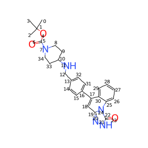 CC(C)(C)OC(=O)N1CCC(NCc2ccc(-c3cc4n[nH]c(=O)n4c4ccccc34)cc2)CC1